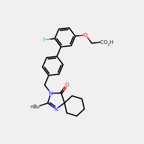 CCCCC1=NC2(CCCCC2)C(=O)N1Cc1ccc(-c2cc(OCC(=O)O)ccc2F)cc1